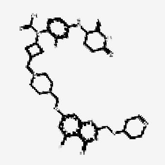 O=C1CCC(Nc2ccc(N(C(=O)O)C3CC(CN4CCC(COc5cc(F)c6c(=O)[nH]c(CSC7CCOCC7)nc6c5)CC4)C3)c(F)c2)C(=O)N1